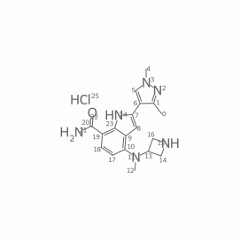 Cc1nn(C)cc1-c1cc2c(N(C)C3CNC3)ccc(C(N)=O)c2[nH]1.Cl